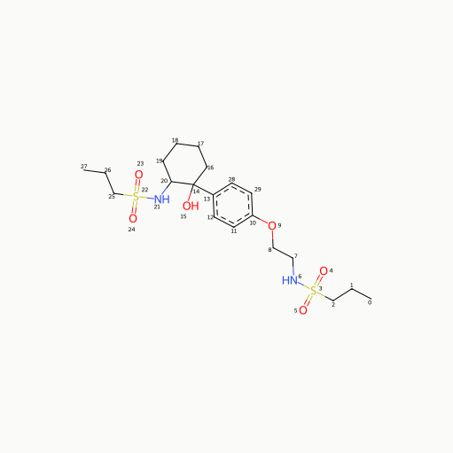 CCCS(=O)(=O)NCCOc1ccc(C2(O)CCCCC2NS(=O)(=O)CCC)cc1